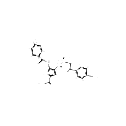 CC(=O)c1cc(S(=O)(=O)N(C)CC(O)c2ccc(F)cc2)c(NC(=O)c2ccc(F)cc2)s1